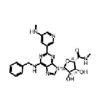 CNC(=O)[C@H]1O[C@@H](n2cnc3c(NCc4ccccc4)nc(-c4cncc(NC)c4)nc32)[C@H](O)[C@@H]1O